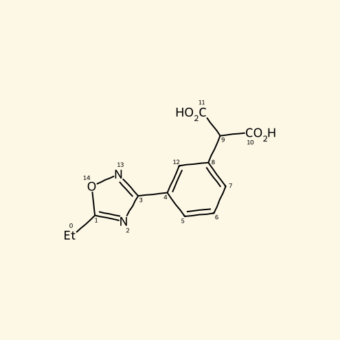 CCc1nc(-c2cccc(C(C(=O)O)C(=O)O)c2)no1